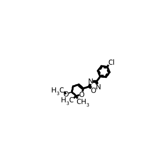 CO[C@H]1CC=C(c2nc(-c3ccc(Cl)cc3)no2)OC1(C)C